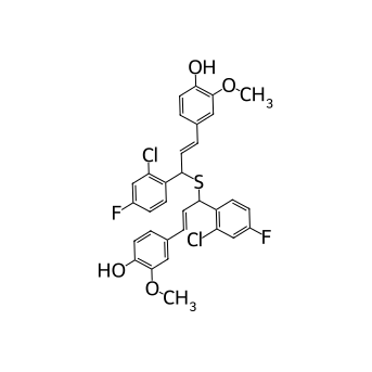 COc1cc(C=CC(SC(C=Cc2ccc(O)c(OC)c2)c2ccc(F)cc2Cl)c2ccc(F)cc2Cl)ccc1O